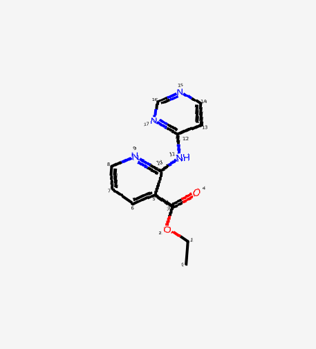 CCOC(=O)c1cccnc1Nc1ccncn1